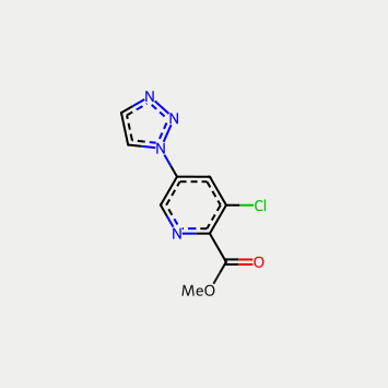 COC(=O)c1ncc(-n2ccnn2)cc1Cl